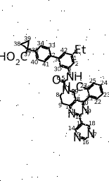 CCc1cc(NC(=O)N2CCc3nc(-c4cncnc4)nc(-c4ccccc4C)c3C2)cc(-c2ccc(C3(C(=O)O)CC3)cc2)c1